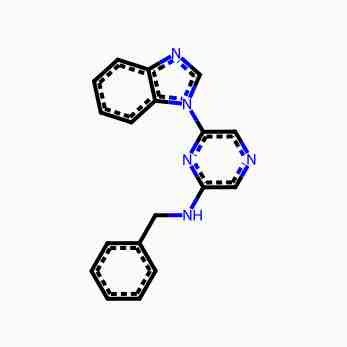 c1ccc(CNc2cncc(-n3cnc4ccccc43)n2)cc1